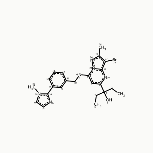 CCC(O)(CC)c1cc(NCc2cccc(-c3nccn3C)c2)n2nc(C)c(Br)c2n1